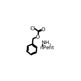 CCCCCN.O=C(Cl)OCc1ccccc1